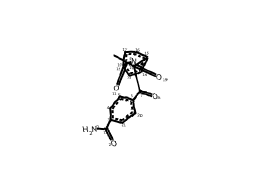 NC(=O)c1ccc(C(=O)n2c(=O)c3ccc(cc3)c2=O)cc1